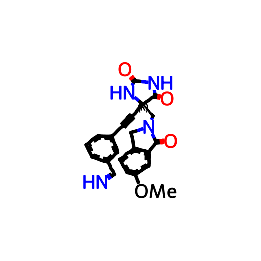 COc1ccc2c(c1)C(=O)N(C[C@@]1(C#Cc3cccc(C=N)c3)NC(=O)NC1=O)C2